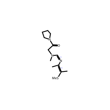 CS/C(C)=C(C)/N=C\N(C)CC(=O)N1CCCC1